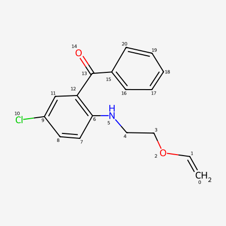 C=COCCNc1ccc(Cl)cc1C(=O)c1ccccc1